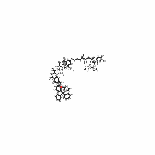 Cc1cc(OCCCC(=O)NCCC[C@H](CS(=O)(=O)O)NC(=O)OC(C)(C)C)cc(C)c1S(=O)(=O)N[C@@H](CNC(=O)C1CC(=O)c2ccc(CNc3nccn3C(c3ccccc3)(c3ccccc3)c3ccccc3)cc2N1C)C(=O)O